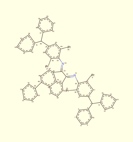 CC(C)c1cc(C(c2ccccc2)c2ccccc2)cc(C(C)C)c1N=C1C(=Nc2c(C(C)C)cc(C(c3ccccc3)c3ccccc3)cc2C(C)C)c2ccc(-c3ccccc3)c3cccc1c23